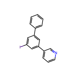 Ic1cc(-c2ccccc2)cc(-c2cccnc2)c1